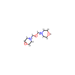 C1CN(COCN2CCOCC2)CCO1